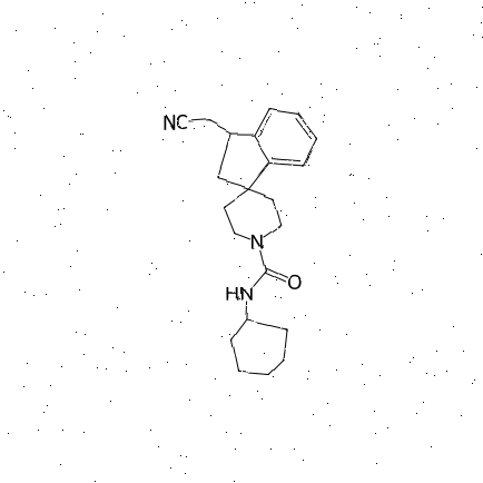 N#CCC1CC2(CCN(C(=O)NC3CCCCC3)CC2)c2ccccc21